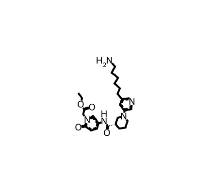 CCOC(=O)Cn1cc(NC(=O)[C@H]2CCCN(c3cncc(CCCCCCN)c3)C2)ccc1=O